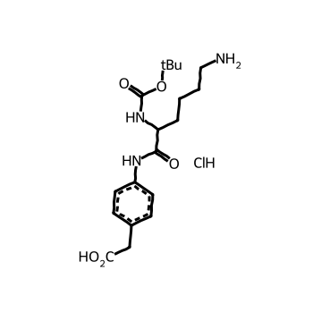 CC(C)(C)OC(=O)NC(CCCCN)C(=O)Nc1ccc(CC(=O)O)cc1.Cl